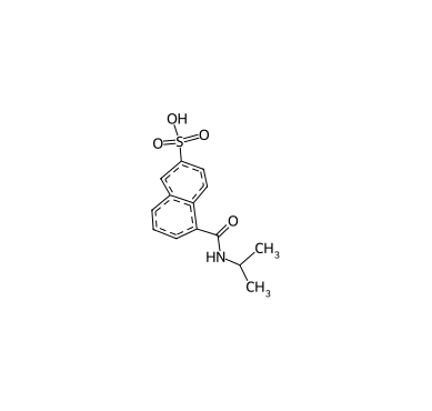 CC(C)NC(=O)c1cccc2cc(S(=O)(=O)O)ccc12